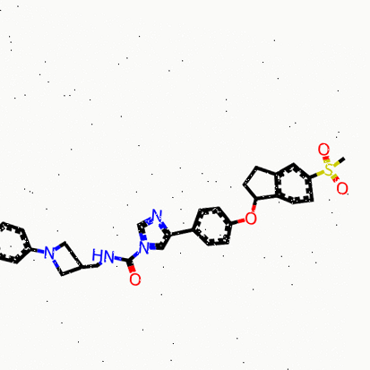 CS(=O)(=O)c1ccc2c(c1)CCC2Oc1ccc(-c2cn(C(=O)NCC3CN(c4ccccc4)C3)cn2)cc1